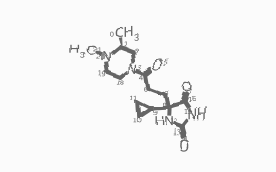 C[C@H]1CN(C(=O)CCC2(C3CC3)NC(=O)NC2=O)CCN1C